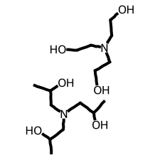 CC(O)CN(CC(C)O)CC(C)O.OCCN(CCO)CCO